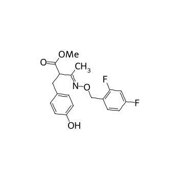 COC(=O)C(Cc1ccc(O)cc1)C(C)=NOCc1ccc(F)cc1F